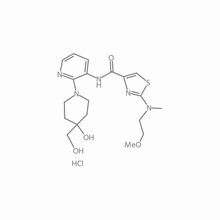 COCCN(C)c1nc(C(=O)Nc2cccnc2N2CCC(O)(CO)CC2)cs1.Cl